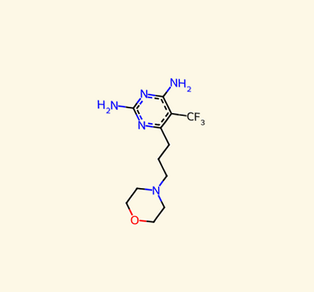 Nc1nc(N)c(C(F)(F)F)c(CCCN2CCOCC2)n1